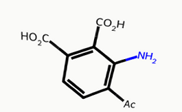 CC(=O)c1ccc(C(=O)O)c(C(=O)O)c1N